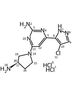 Cl.Cl.Nc1nc(-c2[nH]ncc2Cl)cc(N2CC[C@@H](N)C2)n1